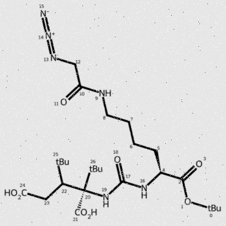 CC(C)(C)OC(=O)[C@H](CCCCNC(=O)CN=[N+]=[N-])NC(=O)N[C@@](C(=O)O)(C(CC(=O)O)C(C)(C)C)C(C)(C)C